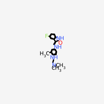 Cc1cc(NC=C2C(=O)Nc3ccc(F)cc32)ccc1NCCN(C)C